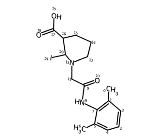 Cc1cccc(C)c1NC(=O)CN1CCCC(C(=O)O)C1I